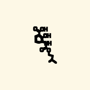 CC(C)CCOC(=O)Nc1cccc(C(=O)O)c1O